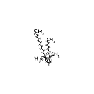 CCCCCCCCCCCCCC(C)n1ccnc1C(CC)CCCCCCCC